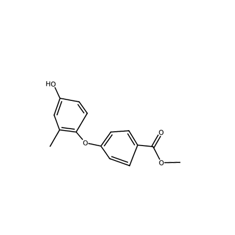 COC(=O)c1ccc(Oc2ccc(O)cc2C)cc1